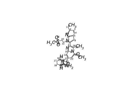 CCc1ccc2cc(-c3nc4cc(C(=O)N5[C@H]6CC[C@@H]5[C@H](N)C6)cc(OC)n4c3C)n(CCS(C)(=O)=O)c2n1